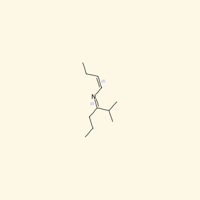 CC/C=C\N=C(\CCC)C(C)C